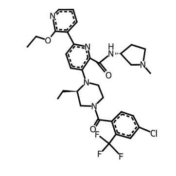 CCOc1ncccc1-c1ccc(N2CCN(C(=O)c3ccc(Cl)cc3C(F)(F)F)C[C@H]2CC)c(C(=O)N[C@@H]2CCN(C)C2)n1